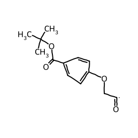 CC(C)(C)OC(=O)c1ccc(OC[C]=O)cc1